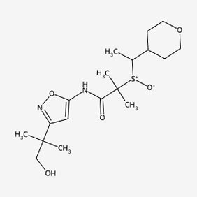 CC(C1CCOCC1)[S+]([O-])C(C)(C)C(=O)Nc1cc(C(C)(C)CO)no1